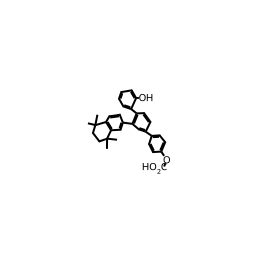 CC1(C)CCC(C)(C)c2cc(-c3cc(-c4ccc(OC(=O)O)cc4)ccc3-c3ccccc3O)ccc21